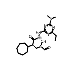 CCc1nc(NNC(=O)[C@@H](CN(O)C=O)C2CCCCCC2)nc(N(C)C)n1